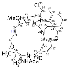 CO[C@@H]1/C=C/COC(C)(C)C(=O)N=S(=O)(NC(C)=O)c2ccc3c(c2)N(C[C@@H]2CC[C@H]21)C[C@@]1(CCCc2cc(Cl)ccc21)CO3